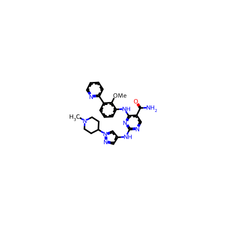 COc1c(Nc2nc(Nc3cnn(C4CCN(C)CC4)c3)ncc2C(N)=O)cccc1-c1ccccn1